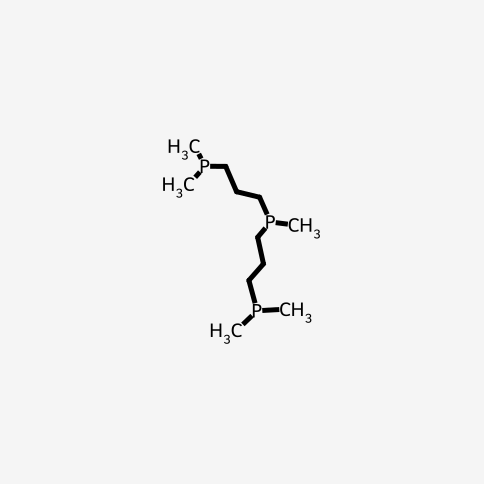 CP(C)CCCP(C)CCCP(C)C